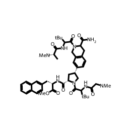 CNCC(=O)NC(C(=O)N1C[C@@H](c2ccc3c(c2)CN(C(=O)C(NC(=O)[C@H](C)NC)C(C)(C)C)C(C(N)=O)C3)C[C@H]1C(=O)N[C@@H](Cc1ccc2ccccc2c1)C(=O)OC)C(C)(C)C